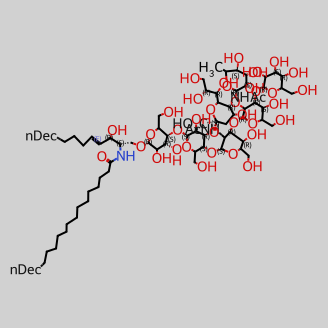 CCCCCCCCCCCCC/C=C/[C@@H](O)[C@H](CO[C@@H]1OC(CO)[C@@H](O[C@@H]2OC(CO)[C@H](O[C@@H]3OC(CO)[C@H](O)[C@H](O[C@@H]4OC(CO)[C@H](O)[C@H](O[C@H]5OC(CO)[C@H](O)[C@H](O)C5O)C4O[C@H]4OC(C)[C@@H](O)C(O)[C@@H]4O)C3NC(C)=O)[C@H](O[C@]3(C(=O)O)CC(O)[C@@H](NC(C)=O)C([C@H](O)[C@H](O)CO)O3)C2O)[C@H](O)C1O)NC(=O)CCCCCCCCCCCCCCCCCCCCCCC